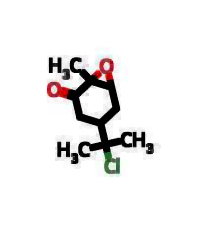 CC(C)(Cl)C1CC(=O)C2(C)OC2C1